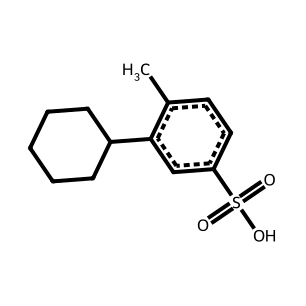 Cc1ccc(S(=O)(=O)O)cc1C1CCCCC1